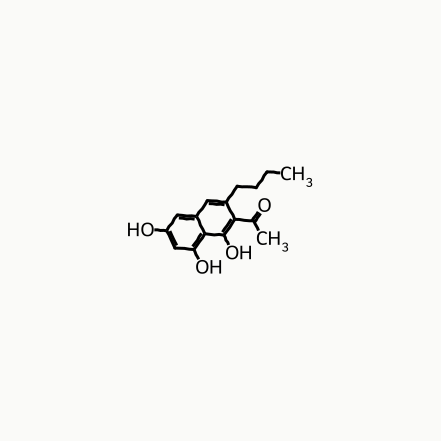 CCCCc1cc2cc(O)cc(O)c2c(O)c1C(C)=O